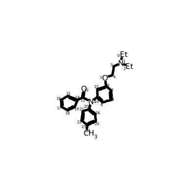 CCN(CC)CCOc1cccc(N(C(=O)c2ccccc2)c2ccc(C)cc2)c1